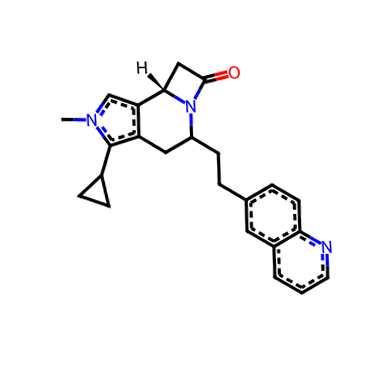 Cn1cc2c(c1C1CC1)CC(CCc1ccc3ncccc3c1)N1C(=O)C[C@@H]21